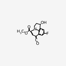 COC(=O)C1=CC(=C=O)c2cc(F)cc3c2N1CCC3O